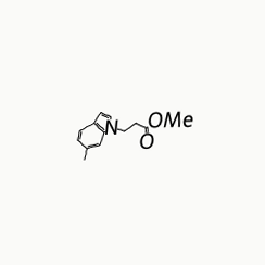 COC(=O)CCn1ccc2ccc(C)cc21